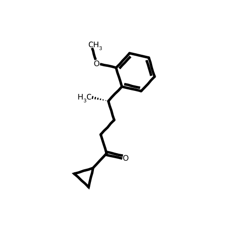 COc1ccccc1[C@@H](C)CCC(=O)C1CC1